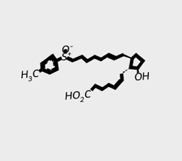 Cc1ccc([S+]([O-])CCCCC/C=C/C[C@H]2CC[C@@H](O)[C@@H]2C/C=C\CCCC(=O)O)cc1